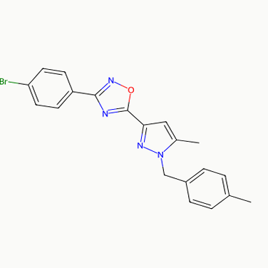 Cc1ccc(Cn2nc(-c3nc(-c4ccc(Br)cc4)no3)cc2C)cc1